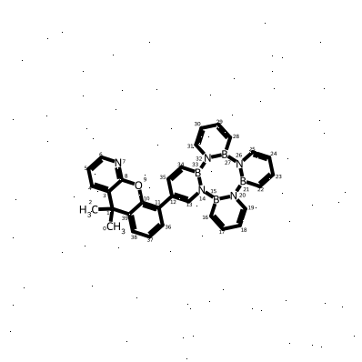 CC1(C)c2cccnc2Oc2c(C3=CN4B5C=CC=CN5B5C=CC=CN5B5C=CC=CN5B4C=C3)cccc21